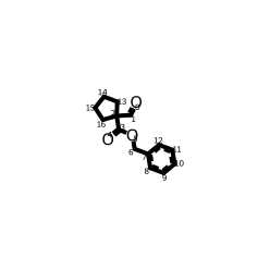 O=CC1(C(=O)OCc2ccccc2)CCCC1